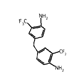 Nc1ccc(Cc2ccc(N)c(C(F)(F)F)c2)cc1C(F)(F)F